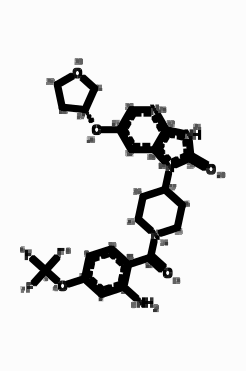 Nc1cc(OC(F)(F)F)ccc1C(=O)N1CCC(n2c(=O)[nH]c3ncc(O[C@@H]4CCOC4)cc32)CC1